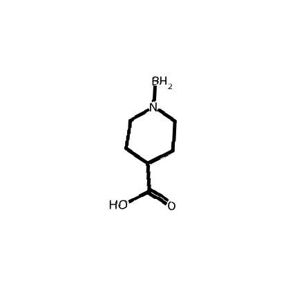 BN1CCC(C(=O)O)CC1